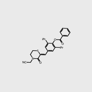 CC(C)c1cc(C=C2SCCN(CC#N)C2=O)cc(C(C)C)c1OC(=O)c1ccccc1